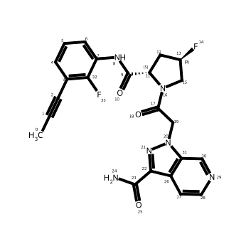 CC#Cc1cccc(NC(=O)[C@@H]2C[C@@H](F)CN2C(=O)Cn2nc(C(N)=O)c3ccncc32)c1F